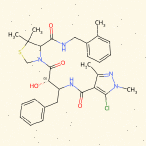 Cc1ccccc1CNC(=O)C1N(C(=O)[C@@H](O)C(Cc2ccccc2)NC(=O)c2c(C)nn(C)c2Cl)CSC1(C)C